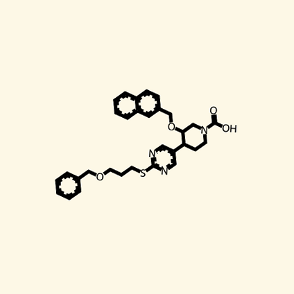 O=C(O)N1CCC(c2cnc(SCCCOCc3ccccc3)nc2)C(OCc2ccc3ccccc3c2)C1